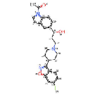 CCC(=O)n1ccc2cc(C(O)CCN3CCC(c4noc5cc(F)ccc45)CC3)ccc21